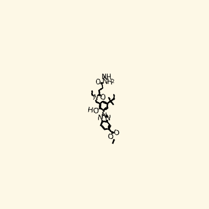 CCOC(=O)c1ccc2nn(-c3cc(C(C)(C)CC)cc(CN(CC)C(=O)CCC(=O)NN)c3O)nc2c1